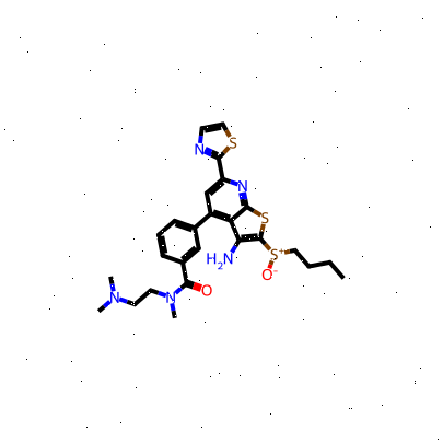 CCCC[S+]([O-])c1sc2nc(-c3nccs3)cc(-c3cccc(C(=O)N(C)CCN(C)C)c3)c2c1N